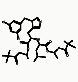 CC(C)CC(NC(Cc1cncn1Cc1cc(Cl)cc(Cl)c1)C(=O)OC(C)CC(=O)C(C)(C)C)C(=O)OC(C)OC(=O)C(C)(C)C